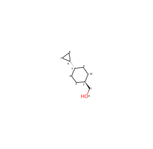 OC[C@H]1CC[C@H](C2CC2)CC1